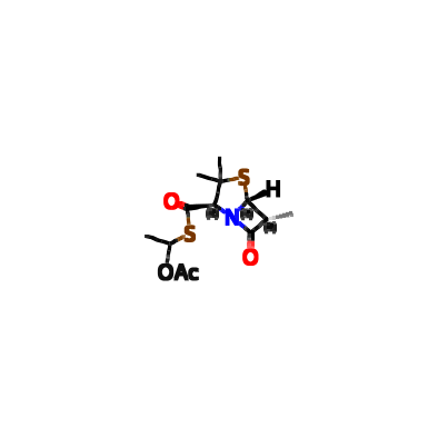 CC(=O)OC(C)SC(=O)[C@@H]1N2C(=O)[C@@H](C)[C@H]2SC1(C)C